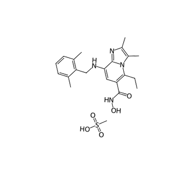 CCc1c(C(=O)NO)cc(NCc2c(C)cccc2C)c2nc(C)c(C)n12.CS(=O)(=O)O